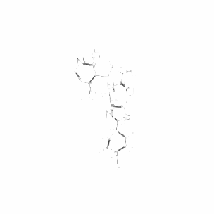 COc1ccnc(OC)c1C1CC(C)C(=O)N1Cc1csc(-c2ccc(C)cc2)n1